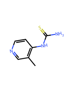 Cc1cnccc1NC(N)=S